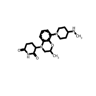 CNC1CCN(c2cccc3c2OC(C)CN3C2CCC(=O)NC2=O)CC1